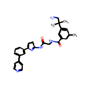 Cc1cc(C(=O)NCC(=O)NC2=NC(c3cccc(-c4ccncc4)c3)=CC2)cc(C(C)(C)CN)c1